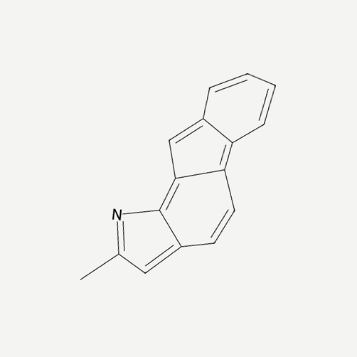 CC1=Nc2c3c(ccc2=C1)=c1ccccc1=C3